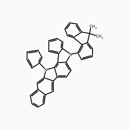 CC1(C)c2ccccc2-c2c(-n3c4ccccc4c4c3ccc3c5cc6ccccc6cc5n(-c5ccccc5)c34)cccc21